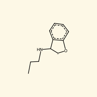 CCCNC1[C]Oc2ccccc21